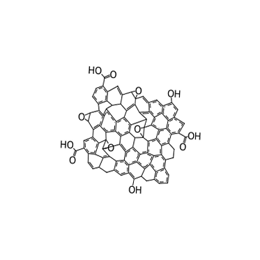 O=C(O)c1cc2c3c4c1C=CC1Cc5cc6c7c8c5C(=C41)C14OC31c1c3c5c9c%10c%11c%12c%13c(c1%10)C4=c8c1c4c7c7c8c%10c(cccc%10c%10c%14c%15c(c%16c(C(=O)O)cc%17cc(O)c%18cc%19c%20c%21c%22c(c%15c(c4c8%14)C4(OC%224C%12C=%20C4=C%11C8C(=Cc%11c(C(=O)O)ccc(c%11C98)C=5C5OC5C=32)C2OC42C=%19)C%131)c%16c%17c%18%21)CC%10)CC7C=6O